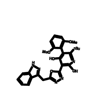 CCCCc1nc(O)c(-c2nnc(Cc3n[nH]c4ccccc34)o2)c(O)c1-c1c(OC)cccc1OC